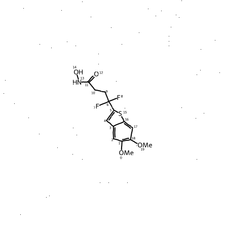 COc1cc2cc(C(F)(F)CCC(=O)NO)sc2cc1OC